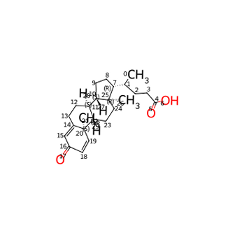 CC(CCC(=O)O)[C@H]1CC[C@H]2[C@@H]3CCC4=CC(=O)C=C[C@]4(C)[C@H]3CC[C@]12C